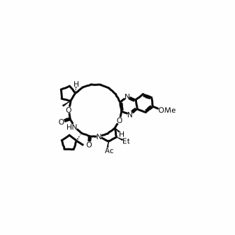 CC[C@@H]1[C@@H]2CN(C(=O)[C@H](C3(C)CCCC3)NC(=O)O[C@]3(C)CCC[C@H]3CCCCCc3nc4ccc(OC)cc4nc3O2)[C@@H]1C(C)=O